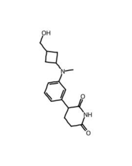 CN(c1cccc(C2CCC(=O)NC2=O)c1)C1CC(CO)C1